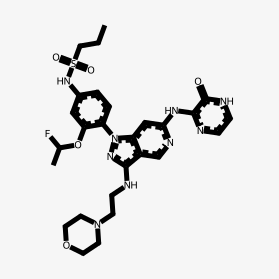 CCCS(=O)(=O)Nc1ccc(-n2nc(NCCN3CCOCC3)c3cnc(Nc4ncc[nH]c4=O)cc32)c(OC(C)F)c1